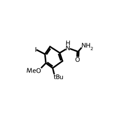 COc1c(I)cc(NC(N)=O)cc1C(C)(C)C